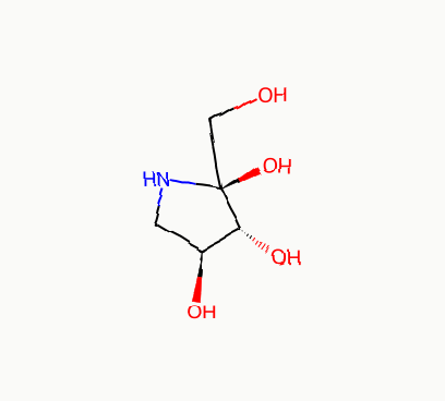 OC[C@@]1(O)NC[C@H](O)[C@H]1O